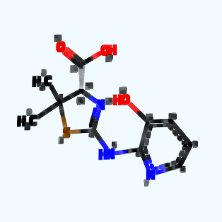 CC1(C)SC(Nc2ncccc2O)=N[C@H]1C(=O)O